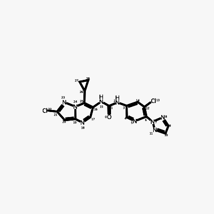 O=C(Nc1cnc(-n2nccn2)c(Cl)c1)Nc1cnc2cc(Cl)nn2c1C1CC1